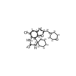 O=C1Nc2c(Cl)cc3nc(CN4CCOCC4)oc3c2C2(CCCCC2)N1